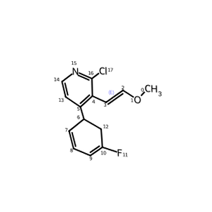 CO/C=C/c1c(C2C=CC=C(F)C2)ccnc1Cl